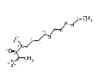 C=C(C)C(=O)N(C)CCCCCCCCCCC